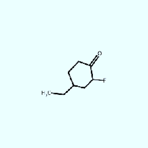 CCC1CCC(=O)C(F)C1